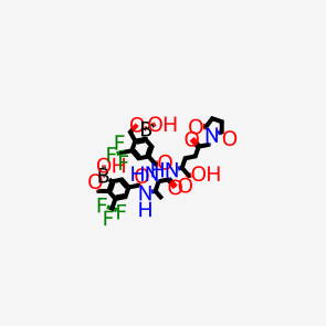 CC(NC(=O)c1cc2c(c(C(F)(F)F)c1)COB2O)C(NC(=O)c1cc2c(c(C(F)(F)F)c1)COB2O)C(=O)NC(CCC(=O)CN1C(=O)CCC1=O)C(=O)O